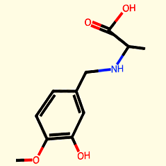 COc1ccc(CNC(C)C(=O)O)cc1O